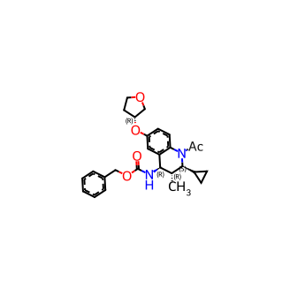 CC(=O)N1c2ccc(O[C@@H]3CCOC3)cc2[C@H](NC(=O)OCc2ccccc2)[C@@H](C)[C@@H]1C1CC1